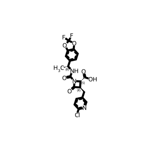 C[C@@H](NC(=O)N1C(=O)[C@H](Cc2ccc(Cl)nc2)[C@H]1C(=O)O)c1ccc2c(c1)OC(F)(F)O2